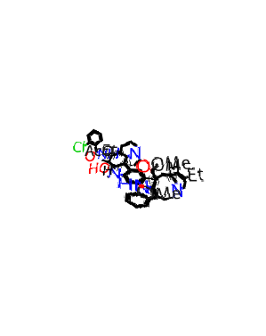 CCC1=C[C@@H]2CN(CCc3c([nH]c4ccccc34)[C@@](C(=O)OC)(c3cc4c(cc3OC)N(C)[C@H]3C(O)(CNC(=O)c5ccccc5Cl)[C@H](OC(C)=O)[C@]5(CC)C=CCN6CC[C@]43C65)C2)C1